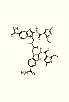 CCn1nc(C)cc1C(=O)Nc1nc2cc(C(N)=O)ccc2n1CC(F)C(F)Cn1c(NC(=O)c2cc(C)nn2CC)nc2cc(C(N)=O)ccc21